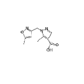 Cc1cc(Cn2ncc([N+](=O)O)c2C)no1